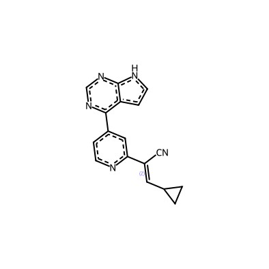 N#C/C(=C\C1CC1)c1cc(-c2ncnc3[nH]ccc23)ccn1